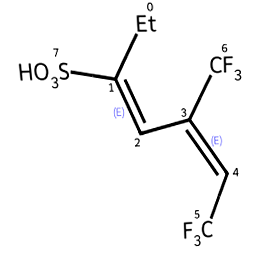 CC/C(=C\C(=C/C(F)(F)F)C(F)(F)F)S(=O)(=O)O